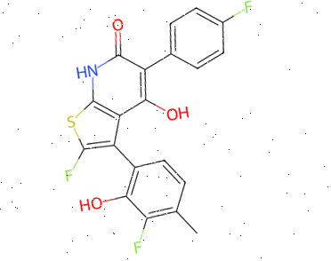 Cc1ccc(-c2c(F)sc3[nH]c(=O)c(-c4ccc(F)cc4)c(O)c23)c(O)c1F